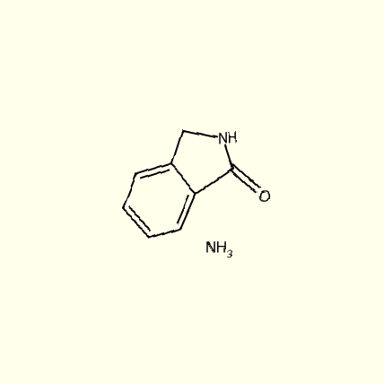 N.O=C1NCc2ccccc21